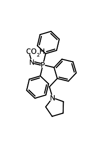 O=C(O)N=P(c1ccccc1)(c1ccccc1)c1ccccc1CN1CCCC1